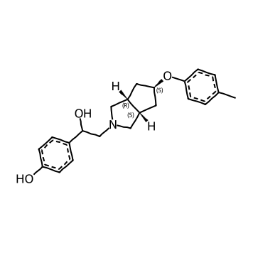 Cc1ccc(O[C@H]2C[C@@H]3CN(CC(O)c4ccc(O)cc4)C[C@@H]3C2)cc1